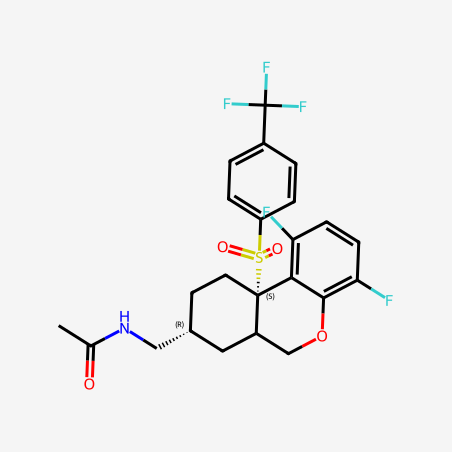 CC(=O)NC[C@@H]1CC[C@@]2(S(=O)(=O)c3ccc(C(F)(F)F)cc3)c3c(F)ccc(F)c3OCC2C1